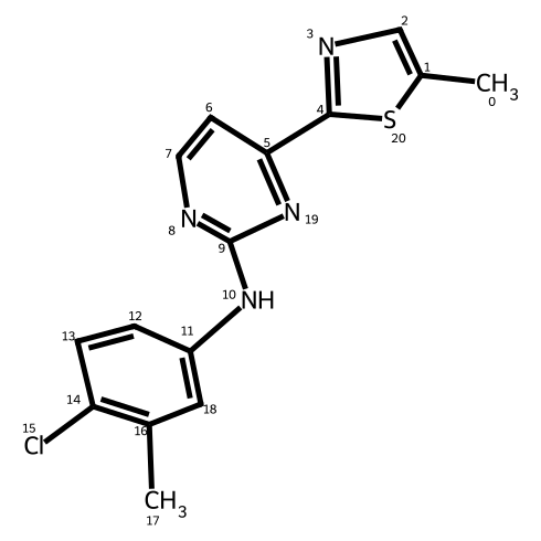 Cc1cnc(-c2ccnc(Nc3ccc(Cl)c(C)c3)n2)s1